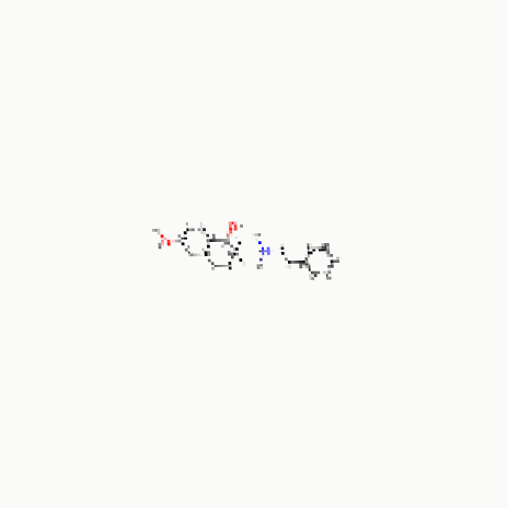 COc1ccc2c(c1)CCC1(CCN(CCc3ccccc3)CC1)C2=O